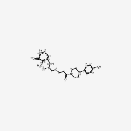 CC[C@H](COCCC(=O)N1CCN(c2ccc(C#N)cn2)CC1)Nc1cn[nH]c(=O)c1C